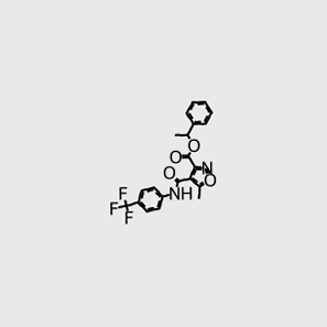 Cc1onc(C(=O)OC(C)c2ccccc2)c1C(=O)Nc1ccc(C(F)(F)F)cc1